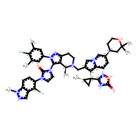 Cc1cc(-n2nc3c(c2-n2ccn(-c4ccc5c(cnn5C)c4F)c2=O)[C@H](C)N(Cc2cn4cc([C@H]5CCOC(C)(C)C5)ccc4c2[C@]2(c4noc(=O)[nH]4)C[C@@H]2C)CC3)cc(C)c1F